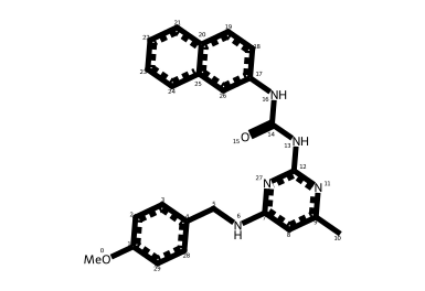 COc1ccc(CNc2cc(C)nc(NC(=O)Nc3ccc4ccccc4c3)n2)cc1